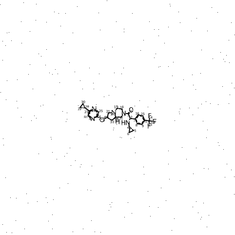 O=C(C(NC1CC1)c1ccc(C(F)(F)F)cc1)N1CCN2C[C@H](Oc3cnc(C4CC4)cn3)C[C@H]2C1